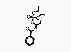 CCOP(=O)(OCC)OC(CI)OC(=O)c1ccccc1